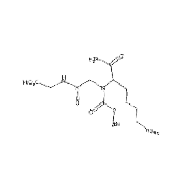 CCCCCCCCCCCCCCC(C(N)=O)N(CC(=O)NCC(=O)O)C(=O)OC(C)(C)C